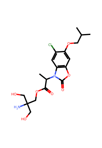 CC(C)COc1cc2oc(=O)n(C(C)C(=O)OCC(N)(CO)CO)c2cc1Cl